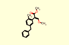 CO/C=C(/C(=O)OC)c1cc(Cc2ccccc2)ccc1C